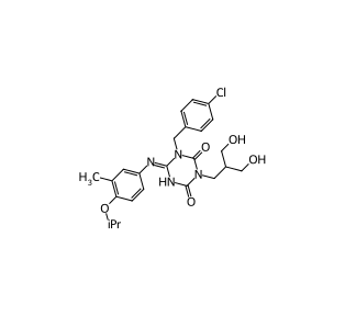 Cc1cc(/N=c2\[nH]c(=O)n(CC(CO)CO)c(=O)n2Cc2ccc(Cl)cc2)ccc1OC(C)C